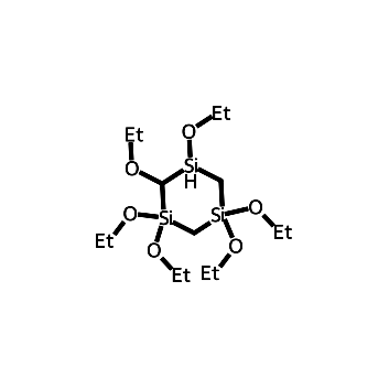 CCOC1[SiH](OCC)C[Si](OCC)(OCC)C[Si]1(OCC)OCC